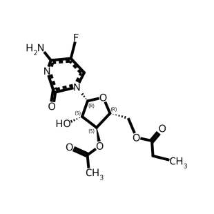 CCC(=O)OC[C@H]1O[C@@H](n2cc(F)c(N)nc2=O)[C@@H](O)[C@@H]1OC(C)=O